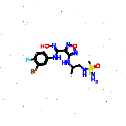 CC(CN[SH](C)(N)=O)Nc1nonc1/C(=N/O)Nc1ccc(F)c(Br)c1